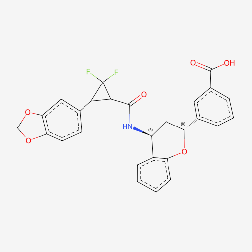 O=C(O)c1cccc([C@H]2C[C@H](NC(=O)C3C(c4ccc5c(c4)OCO5)C3(F)F)c3ccccc3O2)c1